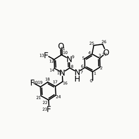 Cc1cc2c(cc1Nc1nc(=O)c(F)cn1Cc1cc(F)cc(F)c1)CCO2